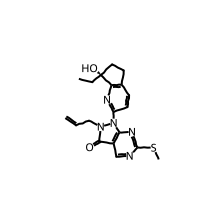 C=CCn1c(=O)c2cnc(SC)nc2n1-c1ccc2c(n1)[C@](O)(CC)CC2